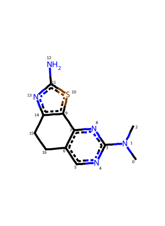 CN(C)c1ncc2c(n1)-c1sc(N)nc1CC2